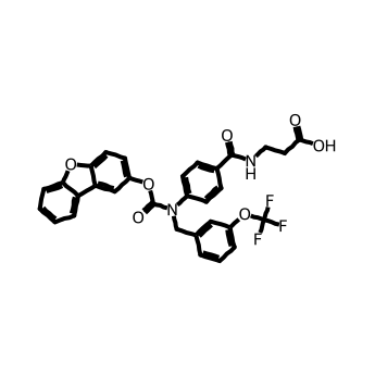 O=C(O)CCNC(=O)c1ccc(N(Cc2cccc(OC(F)(F)F)c2)C(=O)Oc2ccc3oc4ccccc4c3c2)cc1